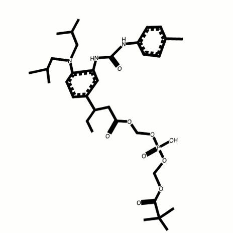 CCC(CC(=O)OCOP(=O)(O)OCOC(=O)C(C)(C)C)c1ccc(N(CC(C)C)CC(C)C)c(NC(=O)Nc2ccc(C)cc2)c1